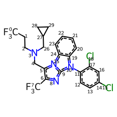 FC(F)(F)CCN(Cc1c(C(F)(F)F)nc2n(-c3ccc(Cl)cc3Cl)c3ccccc3n12)CC1CC1